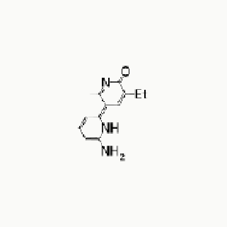 CCC1=CC(=C2C=CC=C(N)N2)C(C)=NC1=O